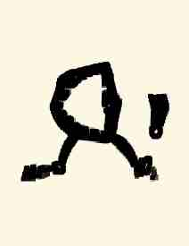 C=O.COc1ccccc1[N+](=O)[O-]